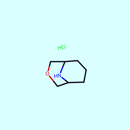 C1CC2COCC(C1)N2.Cl